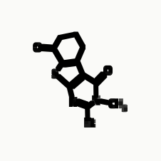 CCc1nc2sc3c(c2c(=O)n1C)CCCC3=O